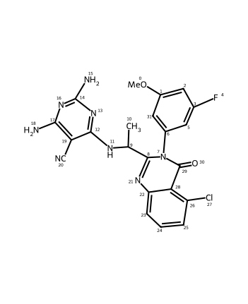 COc1cc(F)cc(-n2c(C(C)Nc3nc(N)nc(N)c3C#N)nc3cccc(Cl)c3c2=O)c1